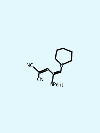 CCCCCC(C=C(C#N)C#N)=CN1CCCCC1